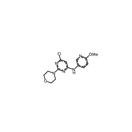 COc1ccc(Nc2cc(Cl)nc(N3CCOCC3)n2)cn1